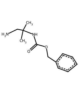 CC(C)(CN)NC(=O)OCc1ccccc1